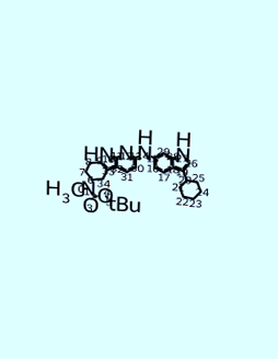 CN(C(=O)OC(C)(C)C)C1CCc2[nH]c3nc(Nc4ccc5c(C6CCCCC6)c[nH]c5c4)ccc3c2C1